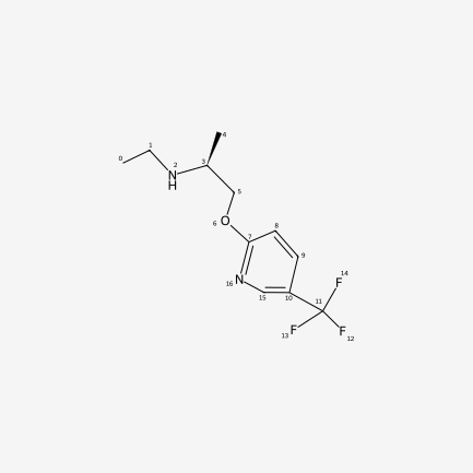 CCN[C@@H](C)COc1ccc(C(F)(F)F)cn1